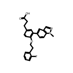 Cn1ncc2cc(-c3cc(CCC(=O)O)ccc3OCCc3ccccc3F)ccc21